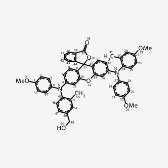 COc1ccc(N(c2ccc3c(c2)Oc2cc(N(c4ccc(OC)cc4)c4ccc(OC)cc4C)ccc2C32OC(=O)c3ccccc32)c2ccc(CO)cc2C)cc1